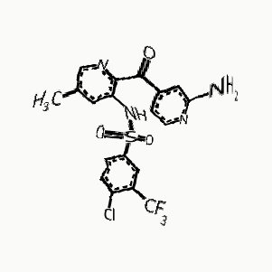 Cc1cnc(C(=O)c2ccnc(N)c2)c(NS(=O)(=O)c2ccc(Cl)c(C(F)(F)F)c2)c1